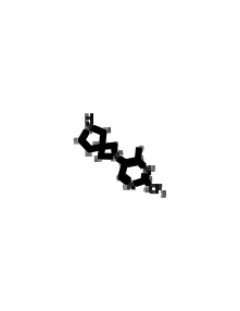 Cc1nc(C(F)(F)F)ncc1N1CC2(CCNC2)C1